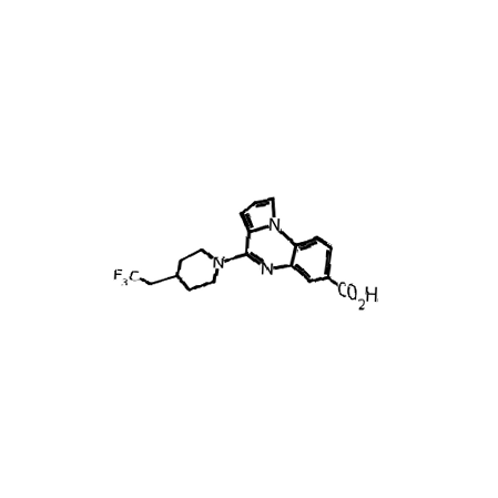 O=C(O)c1ccc2c(c1)nc(N1CCC(CC(F)(F)F)CC1)c1cccn12